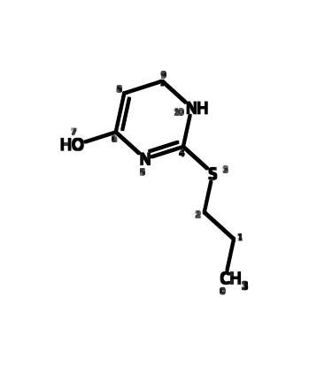 CCCSC1=NC(O)=C[CH]N1